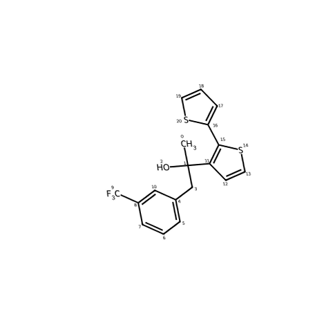 CC(O)(Cc1cccc(C(F)(F)F)c1)c1ccsc1-c1cccs1